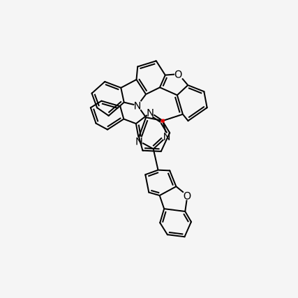 c1ccc(-c2nc(-c3ccc4c(c3)oc3ccccc34)nc(-c3cccc4oc5ccc6c7ccccc7n(-c7ccccc7)c6c5c34)n2)cc1